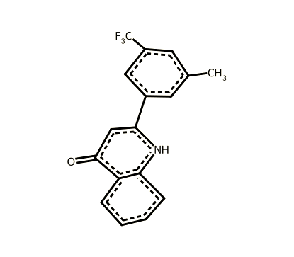 Cc1cc(-c2cc(=O)c3ccccc3[nH]2)cc(C(F)(F)F)c1